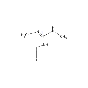 C/N=C(/NC)NCI